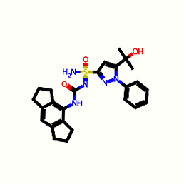 CC(C)(O)c1cc([S@@](N)(=O)=NC(=O)Nc2c3c(cc4c2CCC4)CCC3)nn1-c1ccccc1